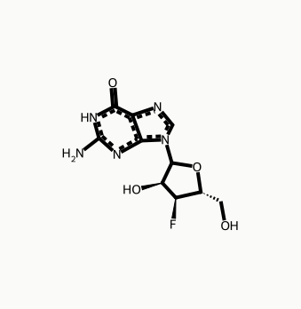 Nc1nc2c(ncn2C2O[C@H](CO)[C@@H](F)[C@H]2O)c(=O)[nH]1